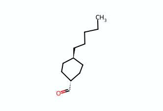 CCCCC[C@H]1CC[C@H](C=O)CC1